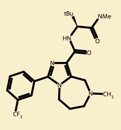 CNC(=O)[C@@H](NC(=O)c1nc(-c2cccc(C(F)(F)F)c2)n2c1CN(C)CCC2)C(C)(C)C